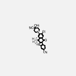 CCc1cc2c(cc1N1CCC(O)(C#N)CC1)C(C)(C)c1[nH]c3cc(C#N)ccc3c1C2=O